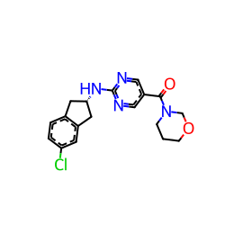 O=C(c1cnc(N[C@H]2Cc3ccc(Cl)cc3C2)nc1)N1CCCOC1